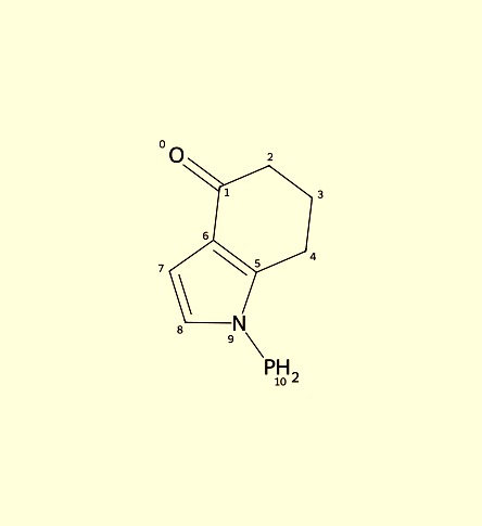 O=C1CCCc2c1ccn2P